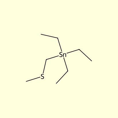 C[CH2][Sn]([CH2]C)([CH2]C)[CH2]SC